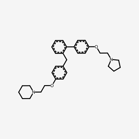 c1ccc(-c2ccc(OCCN3CCCC3)cc2)c(Cc2ccc(OCCN3CCCCC3)cc2)c1